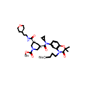 COCCCN1C(=O)C(C)(C)Oc2ccc(N(C(=O)[C@@H]3C[C@H](C(=O)NCCC4CCOCC4)CN(C(=O)OC(C)(C)C)C3)C3CC3)cc21